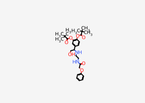 CC(C)(C)C(=O)Oc1ccc(C(CO)NCCNC(=O)COc2ccccc2)cc1OC(=O)C(C)(C)C